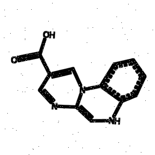 O=C(O)C1=CN2C(=CNc3ccccc32)N=C1